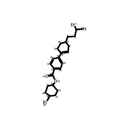 CCC(CC)CCC1CC=C(c2ccc(C(=O)OC3CCC(CC)CC3)cc2)CC1